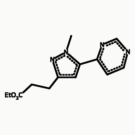 CCOC(=O)CCc1cc(-c2ccncn2)n(C)n1